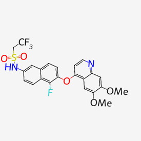 COc1cc2nccc(Oc3ccc4cc(NS(=O)(=O)CC(F)(F)F)ccc4c3F)c2cc1OC